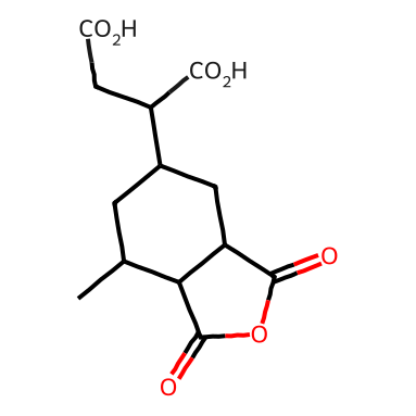 CC1CC(C(CC(=O)O)C(=O)O)CC2C(=O)OC(=O)C12